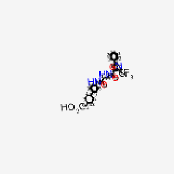 O=C(O)CC1CCC(c2ccc(NC(=O)CCNC(=O)c3oc(-c4ccccc4)nc3C(F)(F)F)cc2)CC1